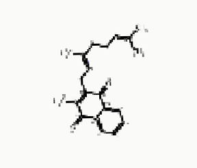 CC(C)=CCC/C(C)=C/CC1=C(C)C(=O)c2ccccc2C1=O